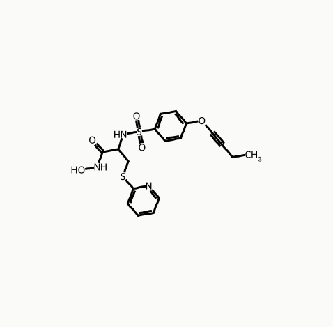 CCC#COc1ccc(S(=O)(=O)NC(CSc2ccccn2)C(=O)NO)cc1